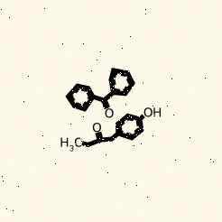 CCC(=O)Cc1ccc(O)cc1.O=C(c1ccccc1)c1ccccc1